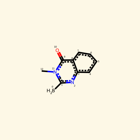 Bc1nc2ccccc2c(=O)n1C